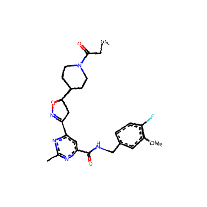 COc1cc(CNC(=O)c2cc(C3=NOC(C4CCN(C(=O)COC(C)=O)CC4)C3)nc(C)n2)ccc1F